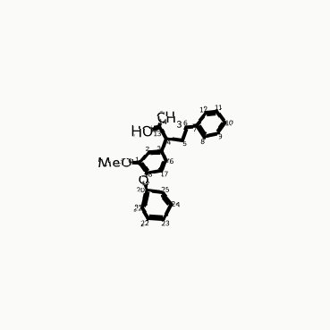 COc1cc(C(CCc2ccccc2)C(C)O)ccc1Oc1ccccc1